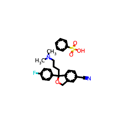 CN(C)CCCC1(c2ccc(F)cc2)OCc2cc(C#N)ccc21.O=S(=O)(O)c1ccccc1